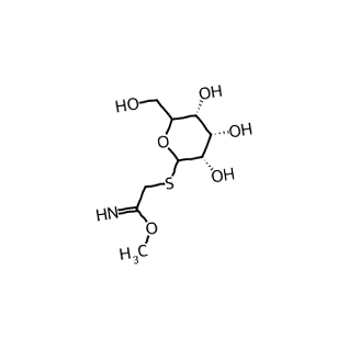 COC(=N)CSC1OC(CO)[C@H](O)[C@H](O)[C@@H]1O